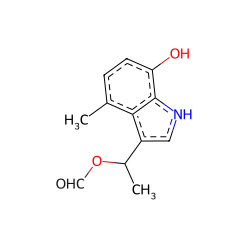 Cc1ccc(O)c2[nH]cc(C(C)OC=O)c12